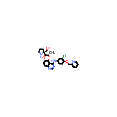 C[C@H](Oc1cccc2ncnc(Nc3ccc(OCc4ccccn4)c(Cl)c3)c12)C(=O)[C@@]1(CO)CCCN1